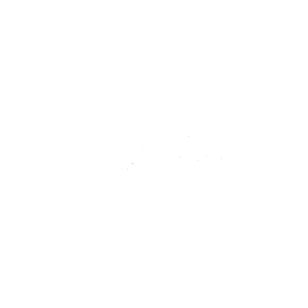 CO[Si](C)(C)CCCSCC(C)C(C)=O